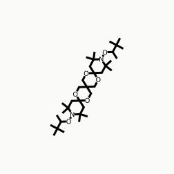 CC(ON1C(C)(C)CC2(CC1(C)C)OCC1(CO2)COC2(CC(C)(C)N(OC(C)C(C)(C)C)C(C)(C)C2)OC1)C(C)(C)C